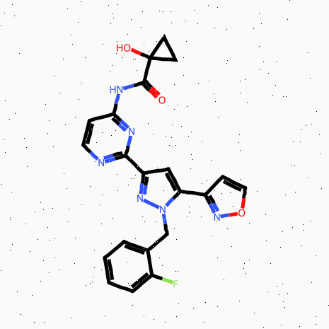 O=C(Nc1ccnc(-c2cc(-c3ccon3)n(Cc3ccccc3F)n2)n1)C1(O)CC1